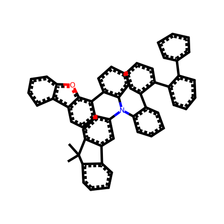 CC1(C)c2ccccc2-c2cc(N(c3ccccc3-c3ccccc3-c3ccccc3-c3ccccc3)c3ccccc3-c3cccc4c3oc3ccccc34)ccc21